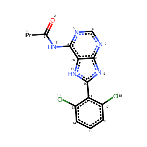 CC(C)C(=O)Nc1ncnc2nc(-c3c(Cl)cccc3Cl)[nH]c12